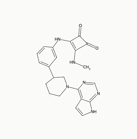 CNc1c(Nc2cccc(C3CCCN(c4ncnc5[nH]ccc45)C3)c2)c(=O)c1=O